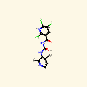 CCc1ccnc(CC)c1NC(=O)NC(=O)c1cc(Cl)c(Cl)nc1Cl